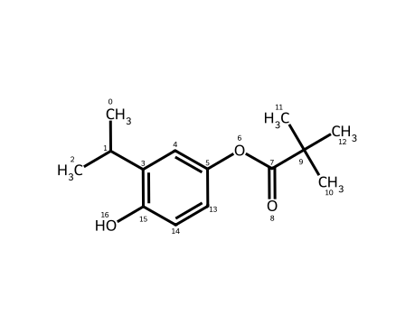 CC(C)c1cc(OC(=O)C(C)(C)C)ccc1O